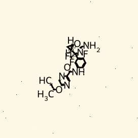 C#CC(C)Oc1cnc(C(=O)Nc2ccc(F)c([C@@]3(C(F)F)N=C(N)O[C@@H]4C[C@@H]43)c2)cn1